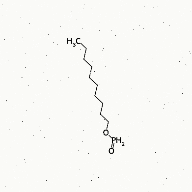 CCCCCCCCCCO[PH2]=O